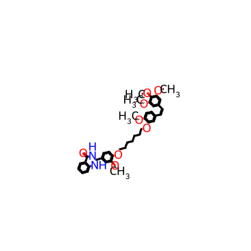 COc1cc(C2NC(=O)c3ccccc3N2)ccc1OCCCCCCCOc1cc(/C=C\c2cc(OC)c(OC)c(OC)c2)ccc1OC